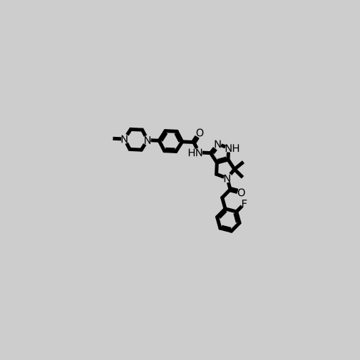 CN1CCN(c2ccc(C(=O)Nc3n[nH]c4c3CN(C(=O)Cc3ccccc3F)C4(C)C)cc2)CC1